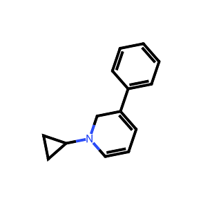 C1=CN(C2CC2)CC(c2ccccc2)=C1